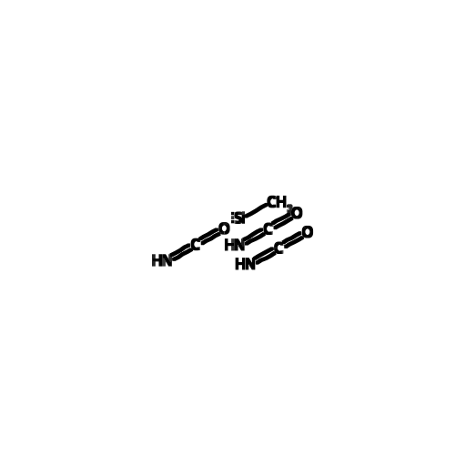 C[Si].N=C=O.N=C=O.N=C=O